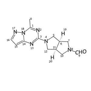 Cc1nc(N2C[C@H]3CN(C=O)C[C@H]3C2)nc2ccnn12